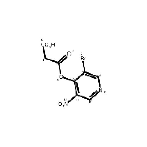 O=C(O)CC(=O)Oc1c(Br)cncc1[N+](=O)[O-]